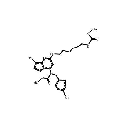 CC(C)c1cnn2c(N(Cc3ccc(C#N)cc3)C(=O)OC(C)(C)C)cc(NCCCCCCNC(=O)OC(C)(C)C)nc12